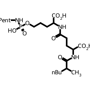 CCCCC(C)C(=O)NC(CCC(=O)NC(CCCOP(=O)(O)NC(C)CCC)C(=O)O)C(=O)O